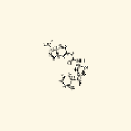 CC(C)n1ncc2cc(CC(=O)Nc3cnn(C(F)c4ccccc4F)n3)ccc21